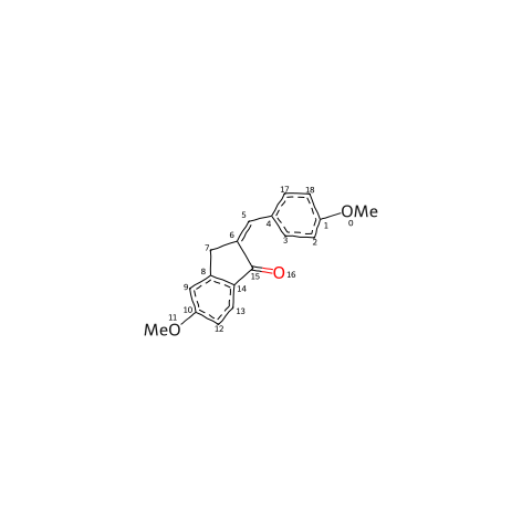 COc1ccc(C=C2Cc3cc(OC)ccc3C2=O)cc1